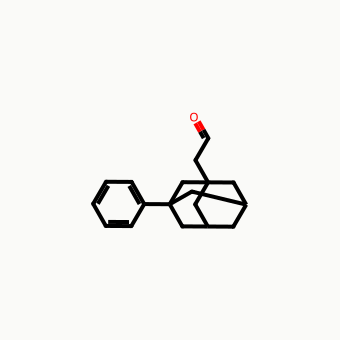 O=CCC12CC3CC(C1)CC(c1ccccc1)(C3)C2